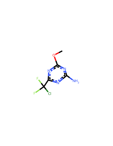 COc1nc(N)nc(C(F)(F)Cl)n1